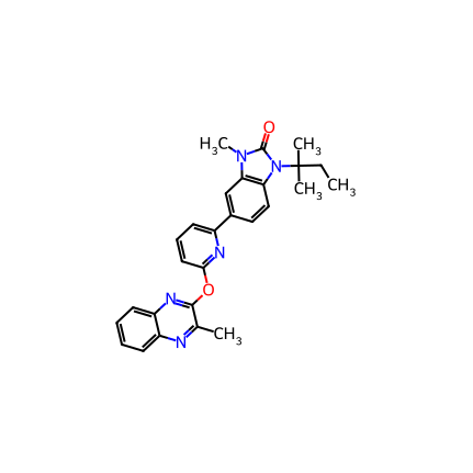 CCC(C)(C)n1c(=O)n(C)c2cc(-c3cccc(Oc4nc5ccccc5nc4C)n3)ccc21